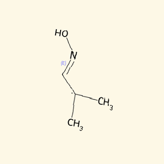 C[C](C)/C=N/O